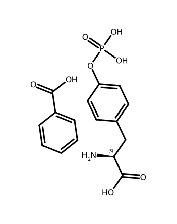 N[C@@H](Cc1ccc(OP(=O)(O)O)cc1)C(=O)O.O=C(O)c1ccccc1